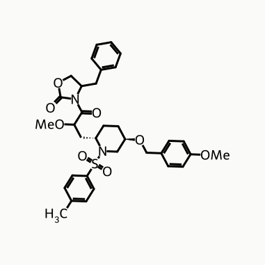 COc1ccc(CO[C@@H]2CC[C@@H](CC(OC)C(=O)N3C(=O)OCC3Cc3ccccc3)N(S(=O)(=O)c3ccc(C)cc3)C2)cc1